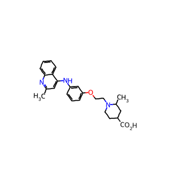 Cc1cc(Nc2cccc(OCCN3CCC(C(=O)O)CC3C)c2)c2ccccc2n1